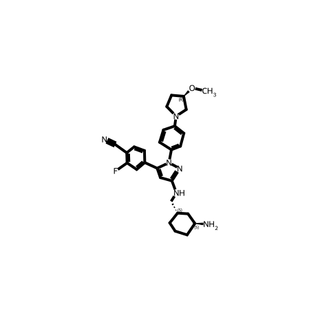 CO[C@@H]1CCN(c2ccc(-n3nc(NC[C@H]4CCC[C@H](N)C4)cc3-c3ccc(C#N)c(F)c3)cc2)C1